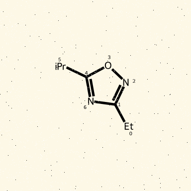 [CH2]Cc1noc(C(C)C)n1